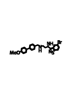 COc1ccc(-c2ccc(CNCCC(N)c3nsc4ccc(Br)cc34)cc2)cc1